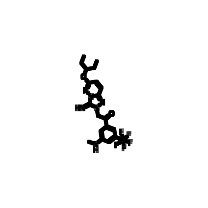 CCC(CC)Oc1ccc2nn(CC(=O)c3cc(NC)cc(S(F)(F)(F)(F)F)c3)c(=N)n2n1